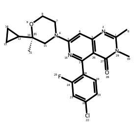 Cc1nc2cc(N3CCO[C@](C)(C4CC4)C3)nc(-c3ccc(Cl)cc3F)c2c(=O)n1C